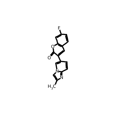 Cc1cn2cc(-c3cc4ccc(F)cc4oc3=O)ccc2n1